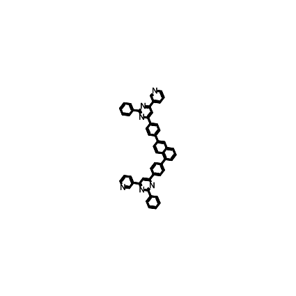 c1ccc(-c2nc(-c3ccc(-c4ccc5c(-c6ccc(-c7cc(-c8cccnc8)nc(-c8ccccc8)n7)cc6)cccc5c4)cc3)cc(-c3cccnc3)n2)cc1